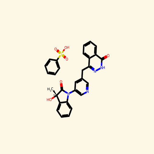 C[C@@]1(O)C(=O)N(c2cncc(Cc3n[nH]c(=O)c4ccccc34)c2)c2ccccc21.O=S(=O)(O)c1ccccc1